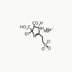 CCC1(C(=O)O)N=C(CCP(=O)([O-])[O-])NC1C(=O)O.[Na+].[Na+]